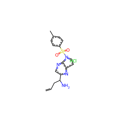 C=CCC(N)c1cnc2c(ccn2S(=O)(=O)c2ccc(C)cc2)n1.Cl